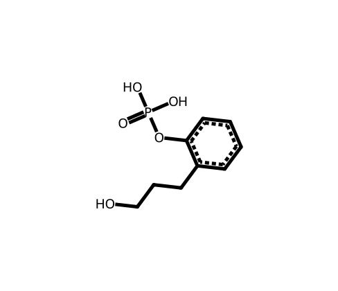 O=P(O)(O)Oc1ccccc1CCCO